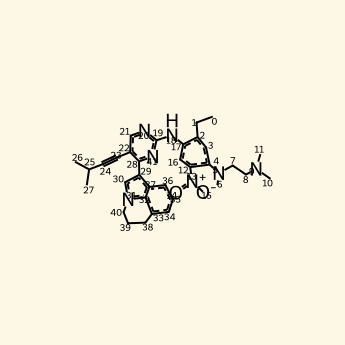 CCc1cc(N(C)CCN(C)C)c([N+](=O)[O-])cc1Nc1ncc(C#CC(C)C)c(-c2cn3c4c(cccc24)CCC3)n1